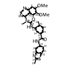 COc1cc2ncnc(N(C)C(=O)Nc3cc(C(=O)Nc4ccc5sc(C)nc5c4)ccc3C)c2cc1OC